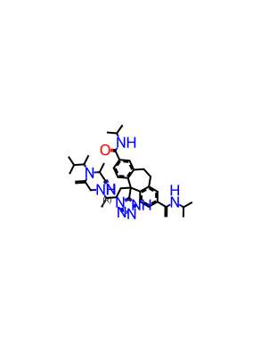 C=C(NC(C)C)c1ccc2c(c1)CCc1cc(C(=O)NC(C)C)ccc1C2(CC[C@@H](C)NCC(=C)N(C(C)C#N)C(C)C(C)C)c1nnn[nH]1